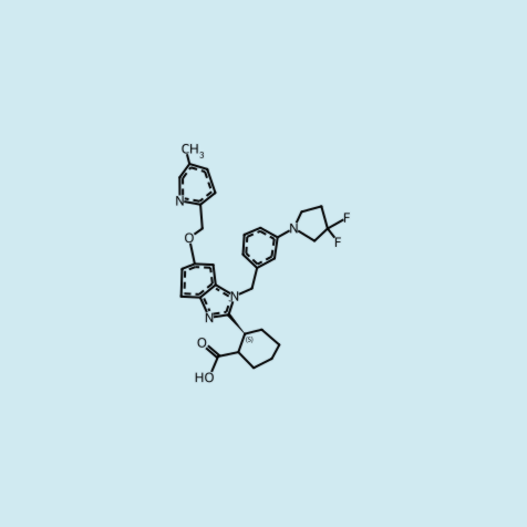 Cc1ccc(COc2ccc3nc([C@H]4CCCCC4C(=O)O)n(Cc4cccc(N5CCC(F)(F)C5)c4)c3c2)nc1